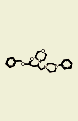 O=C(CC(CN1CCN(c2ccccc2)CC1)N1CCOCC1)OCc1ccccc1